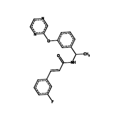 CC(NC(=O)C=Cc1cccc(F)c1)c1cccc(Oc2cnccn2)c1